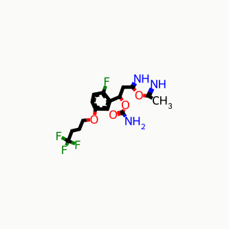 CC(=N)OC(=N)CC(OC(N)=O)c1cc(OCCCC(F)(F)F)ccc1F